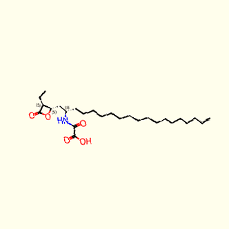 CCCCCCCCCCCCCCCCC[C@@H](C[C@@H]1OC(=O)[C@H]1CC)NC(=O)C(=O)O